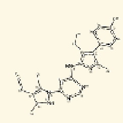 CCc1c(Nc2cc(N3NC(C)C(C=O)=C3C)ncn2)nn(C)c1-c1ccc(F)cc1